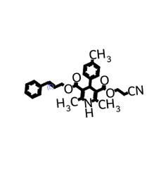 CC1=C(C(=O)OC/C=C/c2ccccc2)C(c2ccc(C)cc2)C(C(=O)OCCC#N)=C(C)N1